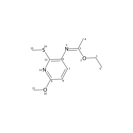 CCOC(C)=Nc1ccc(OC)nc1SC